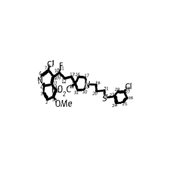 COc1ccc2ncc(Cl)c([C@@H](F)CCC3(C(=O)O)CCN(CCCSc4cccc(Cl)c4)CC3)c2c1